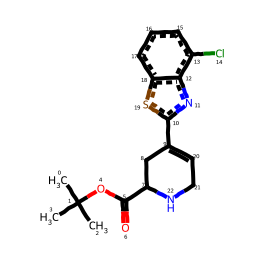 CC(C)(C)OC(=O)C1CC(c2nc3c(Cl)cccc3s2)=CCN1